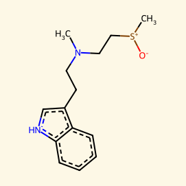 CN(CCc1c[nH]c2ccccc12)CC[S+](C)[O-]